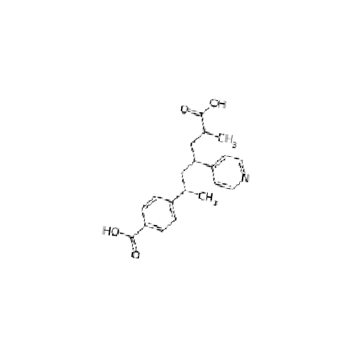 CC(CC(CC(C)c1ccc(C(=O)O)cc1)c1ccncc1)C(=O)O